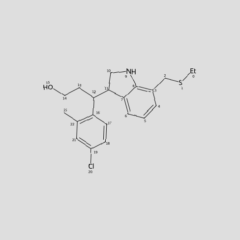 CCSCc1cccc2c1NCC2C(CCO)c1ccc(Cl)cc1C